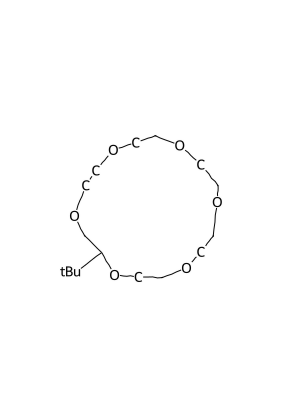 CC(C)(C)C1COCCOCCOCCOCCOCCO1